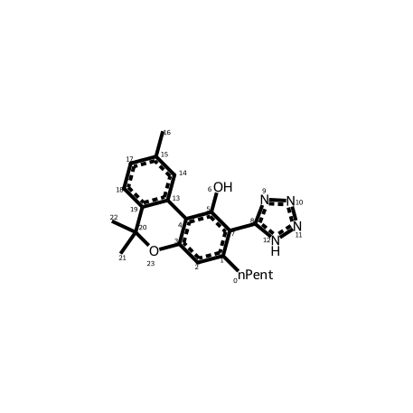 CCCCCc1cc2c(c(O)c1-c1nnn[nH]1)-c1cc(C)ccc1C(C)(C)O2